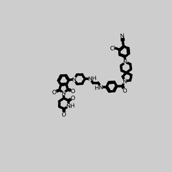 N#Cc1ccc(N2CCC3(CCN(C(=O)c4ccc(NCCNC5CCN(c6cccc7c6C(=O)N(C6CCC(=O)NC6=O)C7=O)CC5)cc4)C3)CC2)cc1Cl